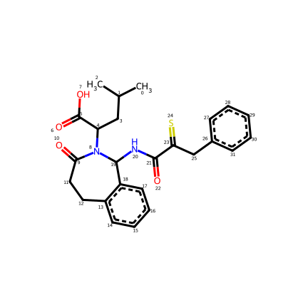 CC(C)CC(C(=O)O)N1C(=O)CCc2ccccc2C1NC(=O)C(=S)Cc1ccccc1